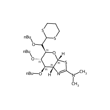 CCCCOC(C1SCCCS1)[C@H]1O[C@@H]2SC(N(C)C)=N[C@@H]2[C@@H](OCCCC)[C@@H]1OCCCC